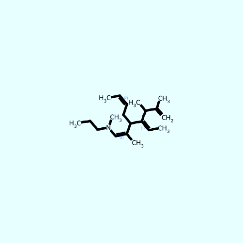 C=C(C)C(C)/C(=C\C)C(C/C=C\C)/C(C)=C\N(C)CCC